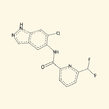 O=C(Nc1cc2cn[nH]c2cc1Cl)c1cccc(C(F)F)n1